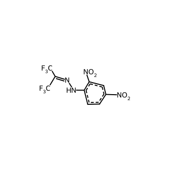 O=[N+]([O-])c1ccc(NN=C(C(F)(F)F)C(F)(F)F)c([N+](=O)[O-])c1